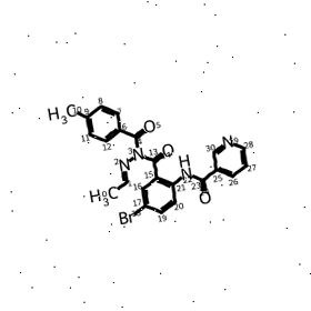 CC=NN(C(=O)c1ccc(C)cc1)C(=O)c1cc(Br)ccc1NC(=O)c1cccnc1